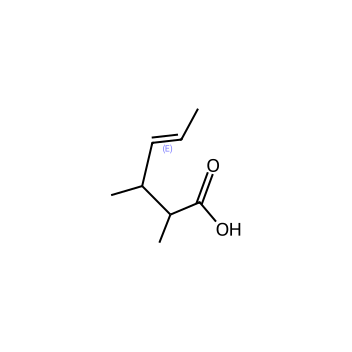 C/C=C/C(C)C(C)C(=O)O